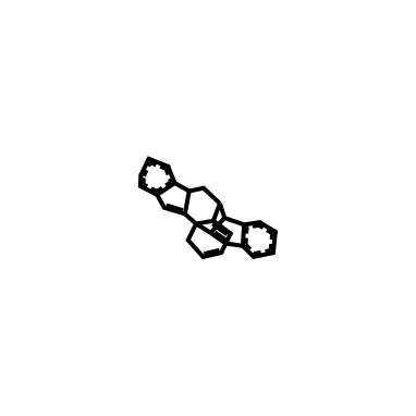 C1=CCC23C4=Cc5ccccc5C4CC(C2=C1)C1C3=Cc2ccccc21